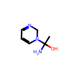 CC(N)(O)N1C=CC=NC1